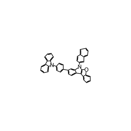 c1ccc2cc(-n3c4cc(-c5ccc(-n6c7ccccc7c7ccccc76)cc5)ccc4c4c5ccccc5oc43)ccc2c1